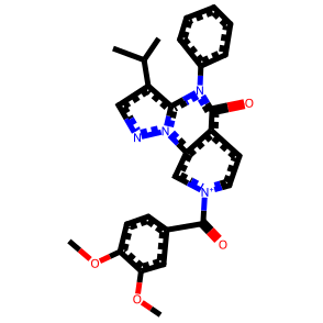 COc1ccc(C(=O)[n+]2ccc3c(=O)n(-c4ccccc4)c4c(C(C)C)cnn4c3c2)cc1OC